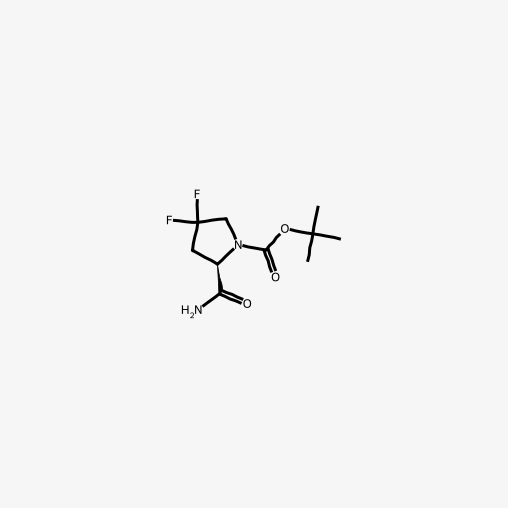 CC(C)(C)OC(=O)N1CC(F)(F)C[C@@H]1C(N)=O